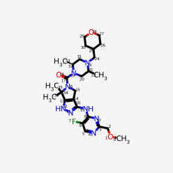 COCc1ncc(F)c(Nc2n[nH]c3c2CN(C(=O)N2CC(C)N(CC4CCOCC4)C[C@@H]2C)C3(C)C)n1